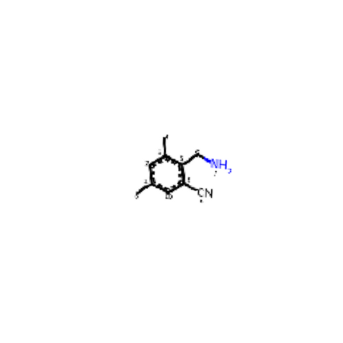 Cc1cc(C)c(CN)c(C#N)c1